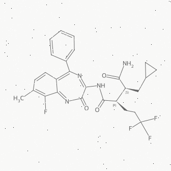 Cc1ccc2c(-c3ccccc3)nc(NC(=O)[C@H](CCC(F)(F)F)[C@H](CC3CC3)C(N)=O)c(=O)nc2c1F